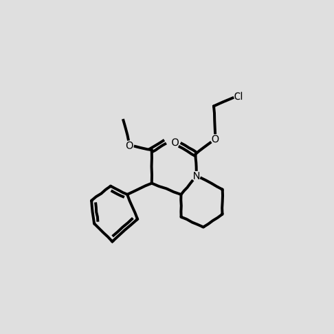 C=C(OC)C(c1ccccc1)C1CCCCN1C(=O)OCCl